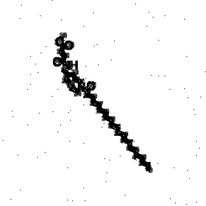 CCC=CCC=CCC=CCC=CCC=CCC=CCCC(=O)N1CCN2CC(CNC(=O)C=CC(=O)OC)CC2C1